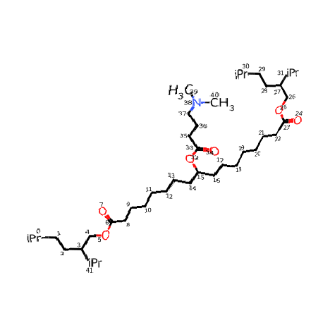 CC(C)CCC(COC(=O)CCCCCCCC(CCCCCCCC(=O)OCC(CCC(C)C)C(C)C)OC(=O)CCCN(C)C)C(C)C